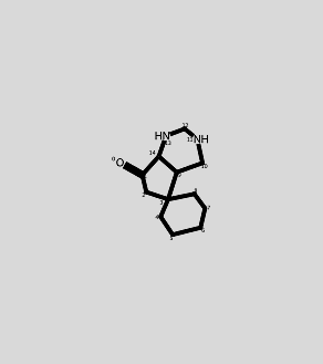 O=C1CC2(CCCCC2)C2CNCNC12